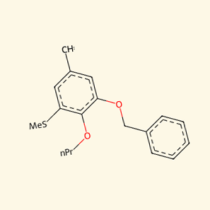 [CH]c1cc(OCc2ccccc2)c(OCCC)c(SC)c1